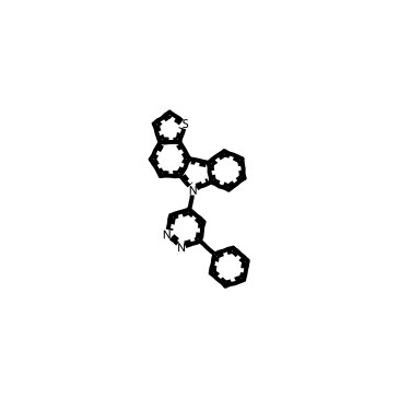 c1ccc(-c2cc(-n3c4ccccc4c4c5sccc5ccc43)cnn2)cc1